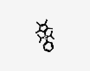 CC1=C(C)C(C)C([Si](c2ccccc2)(C(C)C)C(C)C)=C1C